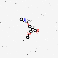 CCC(=C(c1ccc(OCC(CNCC2CCCCC2)OC(C)=O)cc1)c1ccc(OC(=O)c2ccccc2)cc1)c1ccc2c(c1)OCO2